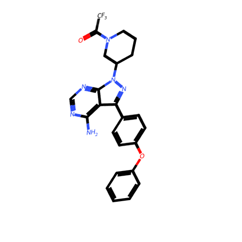 Nc1ncnc2c1c(-c1ccc(Oc3ccccc3)cc1)nn2C1CCCN(C(=O)C(F)(F)F)C1